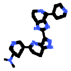 CN(C)c1cncc(-c2ccc3[nH]nc(-c4nc5c(-c6ccncc6)nccc5[nH]4)c3n2)c1